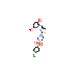 COc1ccc(OC)c(Cc2csc(N3CCN(S(=O)(=O)c4ccc(Cl)cc4)CC3)n2)c1